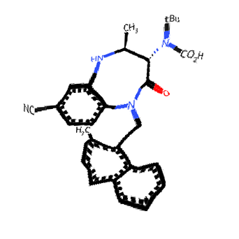 Cc1ccc2ccccc2c1CN1C(=O)[C@@H](N(C(=O)O)C(C)(C)C)[C@H](C)Nc2cc(C#N)ccc21